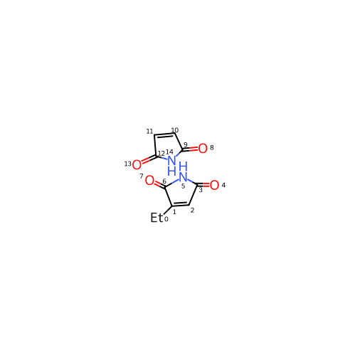 CCC1=CC(=O)NC1=O.O=C1C=CC(=O)N1